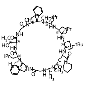 CC(C)C[C@@H]1NC(=O)[C@H](CC(C)C)N(C)C(=O)[C@H](Cc2ccccc2)N(C)C(=O)CNC(=O)[C@H]([C@@H](C)O)NC(=O)[C@H](CC(C)C)N(C)C(=O)[C@H](Cc2ccccc2)NC(=O)CNC(C)N(C)C(=O)CC(C(=O)N2CCCCC2)NC(=O)[C@H](COC(C)(C)C)NC1=O